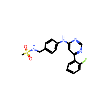 CS(=O)(=O)NCc1ccc(Nc2cc(-c3ccccc3F)ncn2)cc1